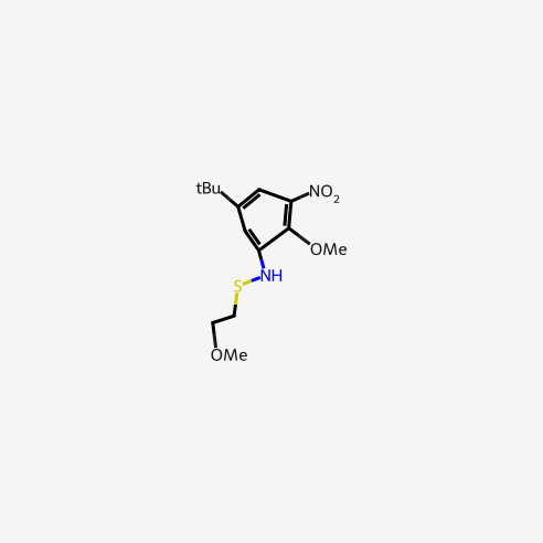 COCCSNc1cc(C(C)(C)C)cc([N+](=O)[O-])c1OC